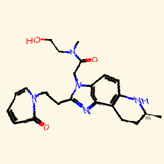 C[C@H]1CCc2c(ccc3c2nc(CCn2ccccc2=O)n3CC(=O)N(C)CCO)N1